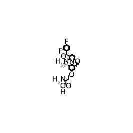 Nc1c(C(=O)c2ccc(F)cc2F)ccc(=O)n1-c1c(F)cc(OCCC(N)C(=O)O)cc1F